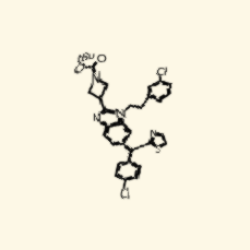 CC(C)(C)OC(=O)N1CC(c2nc3ccc(C(c4ccc(Cl)cc4)c4nccs4)cc3n2CCc2cccc(Cl)c2)C1